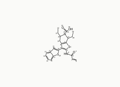 C=CC(=O)Nc1sc2c(c1-c1nc3ccccc3s1)CC(CC)N(C(=O)O)C2CC